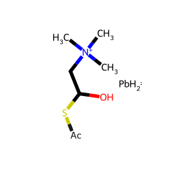 CC(=O)SC(O)C[N+](C)(C)C.[PbH2]